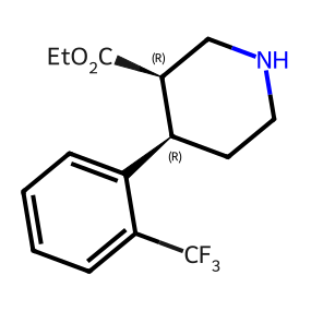 CCOC(=O)[C@H]1CNCC[C@H]1c1ccccc1C(F)(F)F